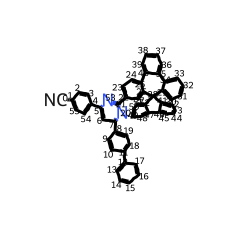 N#Cc1ccc(-c2cc(-c3ccc(-c4ccccc4)cc3)nc(-c3ccc4c(c3)C3(c5ccccc5-c5ccccc5-4)c4ccccc4-c4ccccc43)n2)cc1